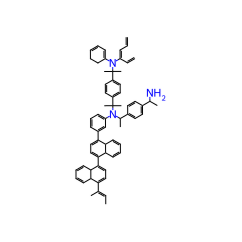 C=C/C=C(\C=C)N(C1=CC=CCC1)C(C)(C)c1ccc(C(C)(C)N(c2cccc(C3=CC=C(C4=CC=C(/C(C)=C/C)C5C=CC=CC45)C4C=CC=CC34)c2)C(C)c2ccc(C(C)N)cc2)cc1